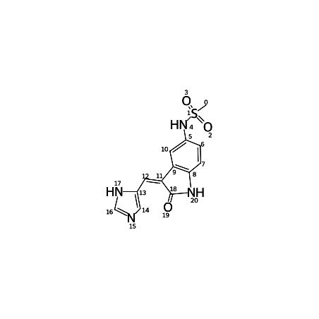 CS(=O)(=O)Nc1ccc2c(c1)/C(=C/c1cnc[nH]1)C(=O)N2